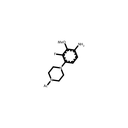 COc1c(N)ccc(N2CCN(C(C)=O)CC2)c1F